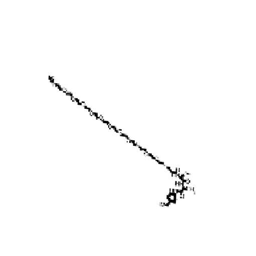 CC(NC(=O)C(NC(=O)CCOCCOCCOCCOCCOCCOCCOCCOCCOCCOCCOCCOCCN=[N+]=[N-])C(C)C)C(=O)Nc1ccc(CO)cc1